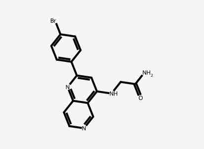 NC(=O)CNc1cc(-c2ccc(Br)cc2)nc2ccncc12